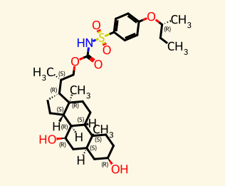 CC[C@@H](C)Oc1ccc(S(=O)(=O)NC(=O)OC[C@@H](C)[C@H]2CC[C@H]3[C@@H]4[C@H](O)C[C@@H]5C[C@H](O)CC[C@]5(C)[C@H]4CC[C@]23C)cc1